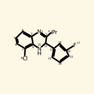 CC(C)C1=Nc2cccc(Cl)c2NC1c1cccc(F)c1